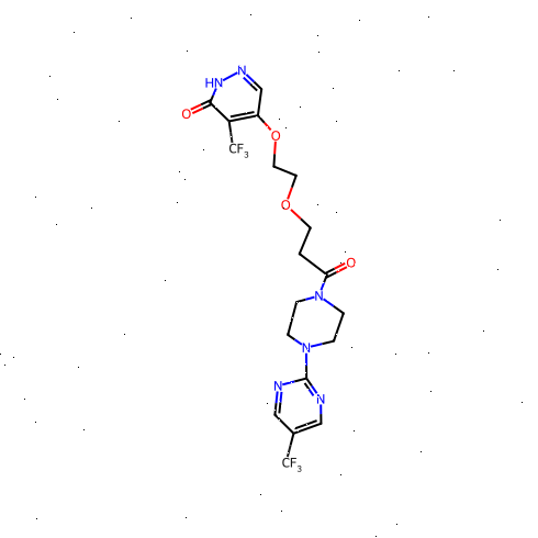 O=C(CCOCCOc1cn[nH]c(=O)c1C(F)(F)F)N1CCN(c2ncc(C(F)(F)F)cn2)CC1